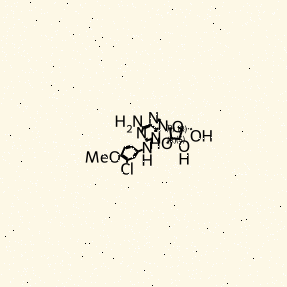 COc1ccc(Nc2nc(N)c3ncn([C@@H]4O[C@H](CO)[C@@H](O)[C@H]4O)c3n2)cc1Cl